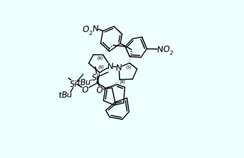 CC(C)(C)[Si](C)(C)OC(c1ccccc1)[C@H]1CC[C@H](Cc2ccc([N+](=O)[O-])cc2)N1N1[C@H](Cc2ccc([N+](=O)[O-])cc2)CC[C@@H]1C(O[Si](C)(C)C(C)(C)C)c1ccccc1